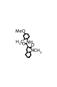 COc1ccc(NC(=O)c2cc3ccccc3n(C)c2=O)c(C)c1